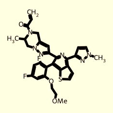 C=CC(=O)N1Cc2cc(-c3nc(-c4ccn(C)n4)c4ccsc4c3-c3c(F)cc(F)cc3OCCOC)nn2CC1C